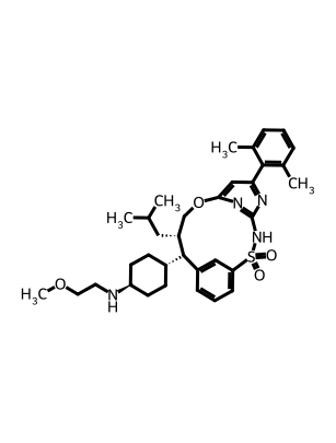 COCCN[C@H]1CC[C@H](C2c3cccc(c3)S(=O)(=O)Nc3nc(cc(-c4c(C)cccc4C)n3)OC[C@H]2CC(C)C)CC1